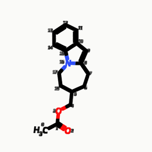 CC(=O)OCC1CCc2cc3ccccc3n2CC1